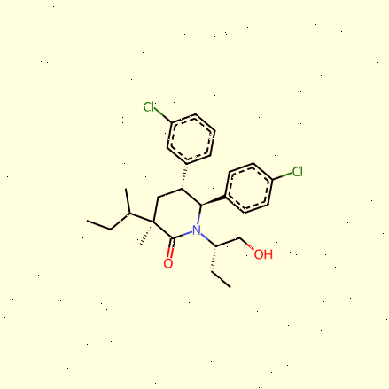 CCC(C)[C@@]1(C)C[C@H](c2cccc(Cl)c2)[C@@H](c2ccc(Cl)cc2)N([C@@H](CC)CO)C1=O